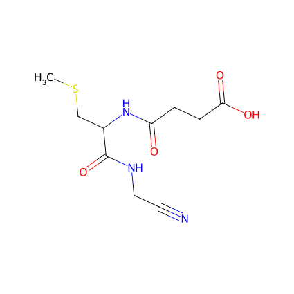 CSCC(NC(=O)CCC(=O)O)C(=O)NCC#N